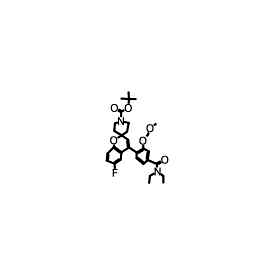 CCN(CC)C(=O)c1ccc(C2=CC3(CCN(C(=O)OC(C)(C)C)CC3)Oc3ccc(F)cc32)c(OCOC)c1